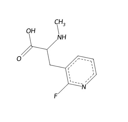 CNC(Cc1cccnc1F)C(=O)O